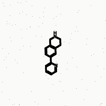 c1ccc(-c2ccc3c(c2)CCNC3)nc1